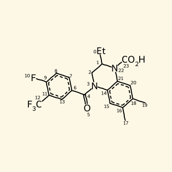 CCC1CN(C(=O)c2ccc(F)c(C(F)(F)F)c2)c2cc(C)c(C)cc2N1C(=O)O